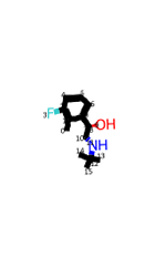 Cc1c(F)cccc1[C@@H](O)CNC(C)(C)C